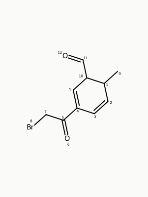 CC1C=CC(C(=O)CBr)=CC1C=O